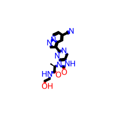 C[C@H](C(=O)NCCO)n1c(=O)[nH]c2cnc(-c3cnn4ccc(C#N)cc34)nc21